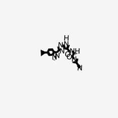 C[C@@H](NC(=O)c1c[nH]c2ncc(-c3nn(C)c4cc(C5CC5)ccc34)nc12)C(=O)N1CC(C#N)C1